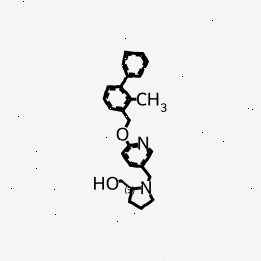 Cc1c(COc2ccc(CN3CCC[C@H]3CO)cn2)cccc1-c1ccccc1